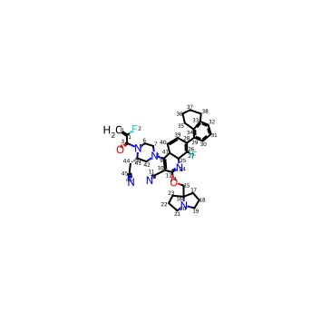 C=C(F)C(=O)N1CCN(C2=C(C#N)C(OCC34CCCN3CCC4)=NC3C(F)=C(c4cccc5c4CCCC5)C=CC23)C[C@@H]1CC#N